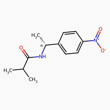 CC(C)C(=O)N[C@H](C)c1ccc([N+](=O)[O-])cc1